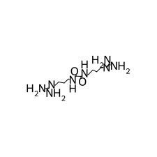 NC(N)=NCCCCNC(=O)C(=O)NCCCCN=C(N)N